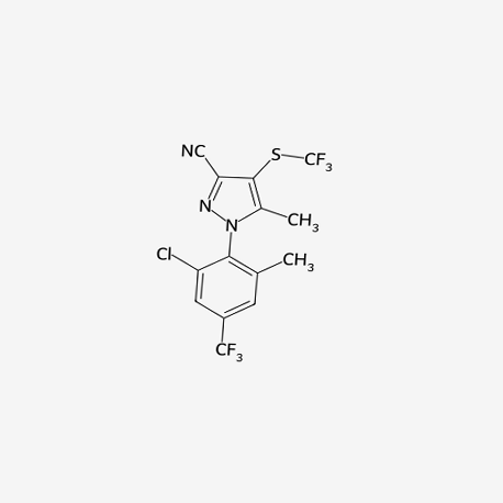 Cc1cc(C(F)(F)F)cc(Cl)c1-n1nc(C#N)c(SC(F)(F)F)c1C